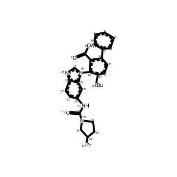 COC(=O)c1c(-c2ccccc2)ccc(C(C)(C)C)c1-n1cnc2ccc(NC(=O)N3CCC(C(C)C)C3)cc21